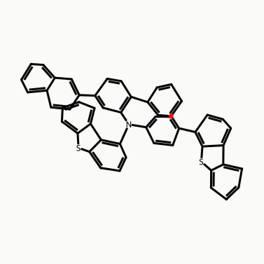 c1ccc(-c2ccc(-c3ccc4ccccc4c3)cc2N(c2ccc(-c3cccc4c3sc3ccccc34)cc2)c2cccc3sc4ccccc4c23)cc1